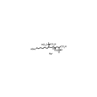 CCCCCCCCCCCCCCCCC(CNC(=O)CC(C(=O)O)S(=O)(=O)[O-])C(C)(C(=O)O)C(=O)O.[Na+]